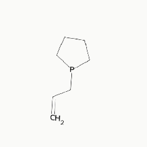 C=CCP1CCCC1